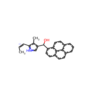 C/C=C\c1[nH]cc(C(O)c2ccc3ccc4cccc5ccc2c3c45)c1C